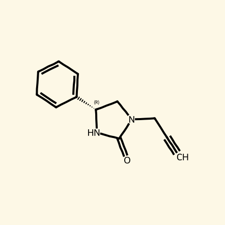 C#CCN1C[C@@H](c2ccccc2)NC1=O